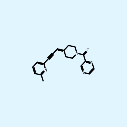 Cc1cccc(C#CC=C2CCN(C(=O)c3cnccn3)CC2)n1